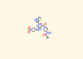 CS(=O)(=O)N1CCC(Nc2cc(C(=O)N3CCC(NC(=O)C4CC4)CC3)nc(-c3cnn4ccsc34)n2)CC1